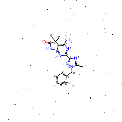 Cc1nc(-c2nc(N)c3c(n2)NC(=O)C3(C)C)nn1Cc1ccccc1F